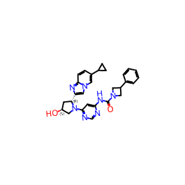 O=C(Nc1cc(N2C[C@@H](O)C[C@@H]2c2cn3cc(C4CC4)ccc3n2)ncn1)N1CC(c2ccccc2)C1